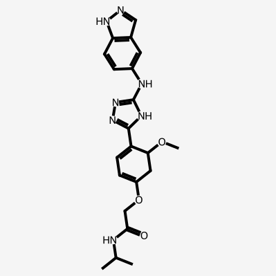 COC1CC(OCC(=O)NC(C)C)=CC=C1c1nnc(Nc2ccc3[nH]ncc3c2)[nH]1